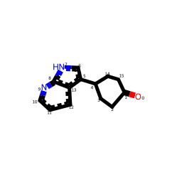 O=C1CCC(c2c[nH]c3ncccc23)CC1